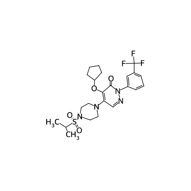 CC(C)S(=O)(=O)N1CCN(c2cnn(-c3cccc(C(F)(F)F)c3)c(=O)c2OC2CCCC2)CC1